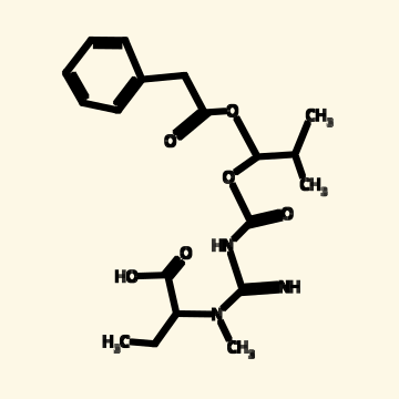 CCC(C(=O)O)N(C)C(=N)NC(=O)OC(OC(=O)Cc1ccccc1)C(C)C